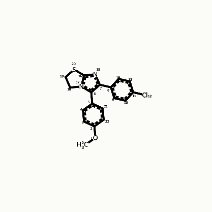 COc1ccc(-c2c(-c3ccc(Cl)cc3)nc3n2CCS3)cc1